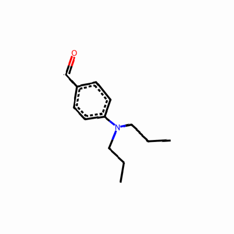 CCCN(CCC)c1ccc([C]=O)cc1